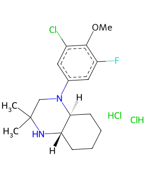 COc1c(F)cc(N2CC(C)(C)N[C@H]3CCCC[C@@H]32)cc1Cl.Cl.Cl